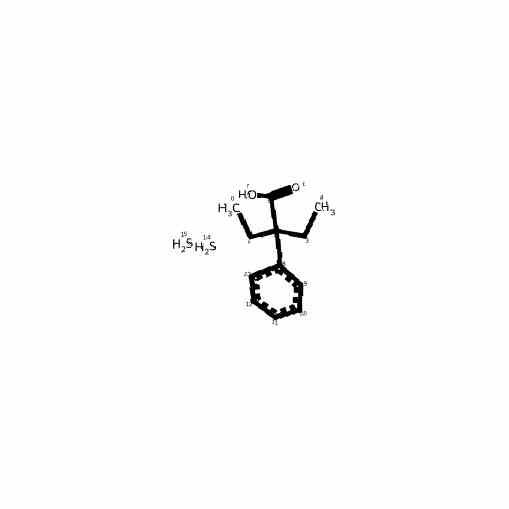 CCC(CC)(C(=O)O)c1ccccc1.S.S